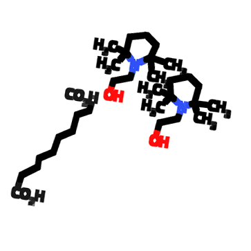 CC1(C)CCCC(C)(C)N1CCO.CC1(C)CCCC(C)(C)N1CCO.O=C(O)CCCCCCCCC(=O)O